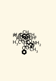 CCC1O[C@@H](OC2[C@@H](OC(=O)Oc3ccccc3)[C@@H](OC(C)=O)C(C(N)=O)O[C@H]2P(=O)(O)OCCOC)C(NC(C)=O)[C@@H](C)[C@@H]1C